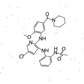 COc1ccc(C(=O)N2CCCCC2)cc1Nc1ncc(Cl)cc1Nc1ccccc1NS(C)(=O)=O